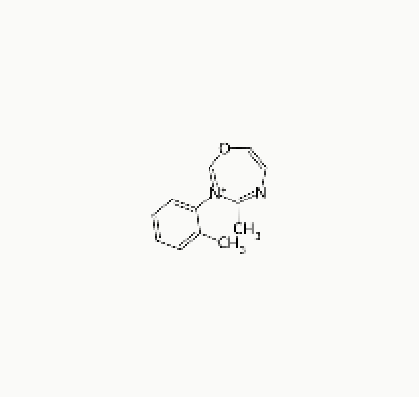 CC1=NC=COC=[N+]1c1ccccc1C